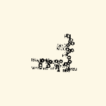 CCCCN(CCCC)C(=O)Cn1c2ccccc2c2ccc(OC)cc21.CCCN(CC1CC1)C(=O)Cn1c2ccccc2c2ccc(OC)cc21.CCN(C(=O)Cn1c2ccccc2c2ccc(OC)cc21)C1CCCCC1.COc1ccc2c3ccccc3n(CC(=O)C(C)(C)C)c2c1.COc1ccc2c3ccccc3n(CC(=O)N(CC(C)C)CC(C)C)c2c1.COc1ccc2c3ccccc3n(CCC(C)(C)C)c2c1